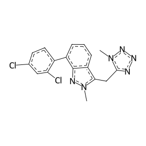 Cn1nnnc1Cc1c2cccc(-c3ccc(Cl)cc3Cl)c2nn1C